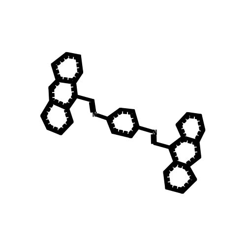 C(=N\c1ccc(/N=C/c2c3ccccc3cc3ccccc23)cc1)/c1c2ccccc2cc2ccccc12